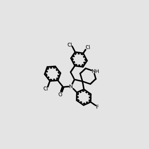 O=C(c1ccccc1Cl)N1c2ccc(F)cc2C2(CCNCC2)C1Cc1ccc(Cl)c(Cl)c1